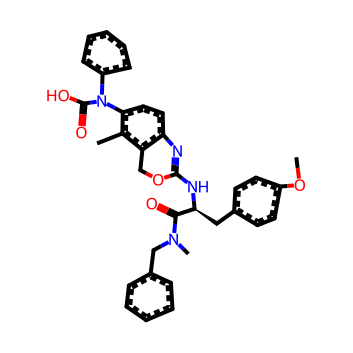 COc1ccc(C[C@H](NC2=Nc3ccc(N(C(=O)O)c4ccccc4)c(C)c3CO2)C(=O)N(C)Cc2ccccc2)cc1